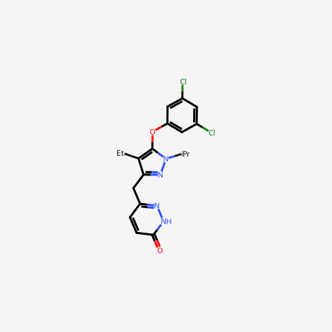 CCc1c(Cc2ccc(=O)[nH]n2)nn(C(C)C)c1Oc1cc(Cl)cc(Cl)c1